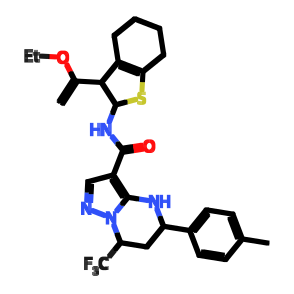 C=C(OCC)C1C2=C(CCCC2)SC1NC(=O)c1cnn2c1NC(c1ccc(C)cc1)CC2C(F)(F)F